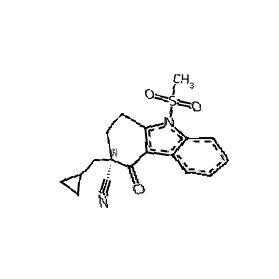 CS(=O)(=O)n1c2c(c3ccccc31)C(=O)[C@@](C#N)(CC1CC1)CC2